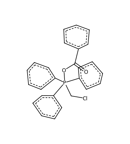 O=C(OP(CCl)(c1ccccc1)(c1ccccc1)c1ccccc1)c1ccccc1